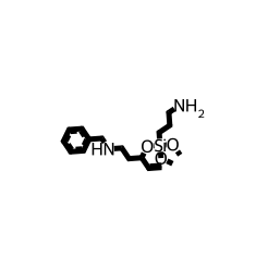 C=CC(CCNCc1ccccc1)O[Si](CCCN)(OC)OC